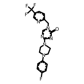 O=c1nc(N2CCN(c3ccc(F)cc3)CC2)ncn1Cc1ccc(C(F)(F)F)cn1